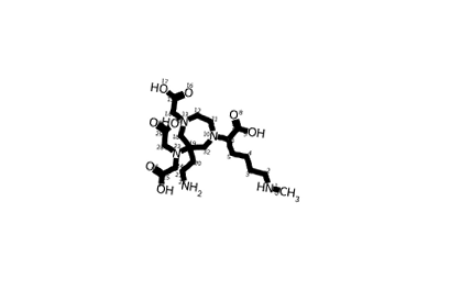 CNCCCCC(C(=O)O)N1CCN(CC(=O)O)CC(CCN)(N(CC(=O)O)CC(=O)O)C1